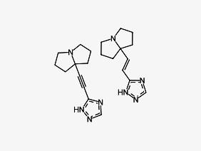 C(#CC12CCCN1CCC2)c1ncn[nH]1.C(=CC12CCCN1CCC2)c1ncn[nH]1